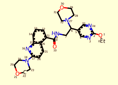 CCOc1ncc(C(CNC(=O)c2cccc3nc(N4CCOCC4)ccc23)N2CCOCC2)cn1